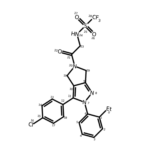 CCc1ccccc1-n1nc2c(c1-c1ccc(Cl)cc1)CN(C(=O)CNS(=O)(=O)C(F)(F)F)C2